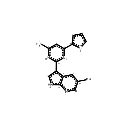 Nc1cc(-c2ccco2)nc(-c2c[nH]c3ncc(F)cc23)n1